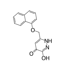 O=c1cc(COc2cccc3ccccc23)[nH]nc1O